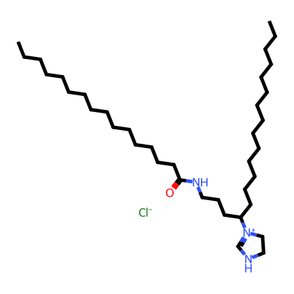 CCCCCCCCCCCCCCCC(=O)NCCCC(CCCCCCCCCCCCCC)[N+]1=CNCC1.[Cl-]